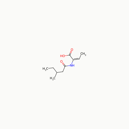 C/C=C(/NC(=O)CC(C)CC)C(=O)O